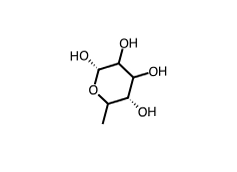 CC1O[C@H](O)C(O)C(O)[C@@H]1O